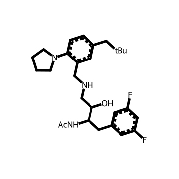 CC(=O)NC(Cc1cc(F)cc(F)c1)C(O)CNCc1cc(CC(C)(C)C)ccc1N1CCCC1